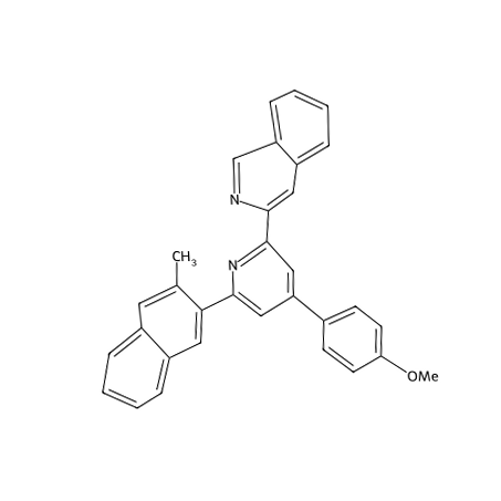 COc1ccc(-c2cc(-c3cc4ccccc4cn3)nc(-c3cc4ccccc4cc3C)c2)cc1